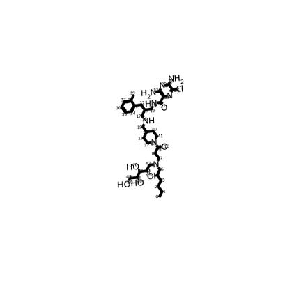 CCCCCCN(CCC(=O)N1CCC(CNCC(CNC(=O)c2nc(Cl)c(N)nc2N)Cc2ccccc2C)CC1)C[C@H](O)[C@@H](O)[C@H](O)CO